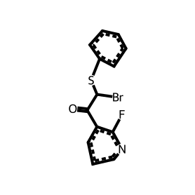 O=C(c1cccnc1F)C(Br)Sc1ccccc1